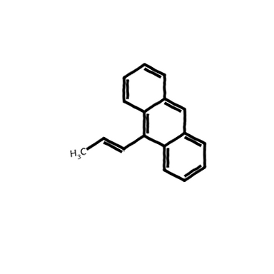 C/C=[C]/c1c2ccccc2cc2ccccc12